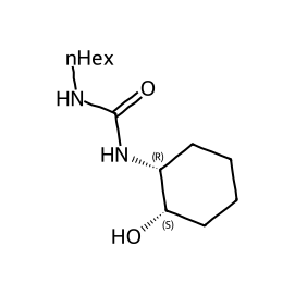 CCCCCCNC(=O)N[C@@H]1CCCC[C@@H]1O